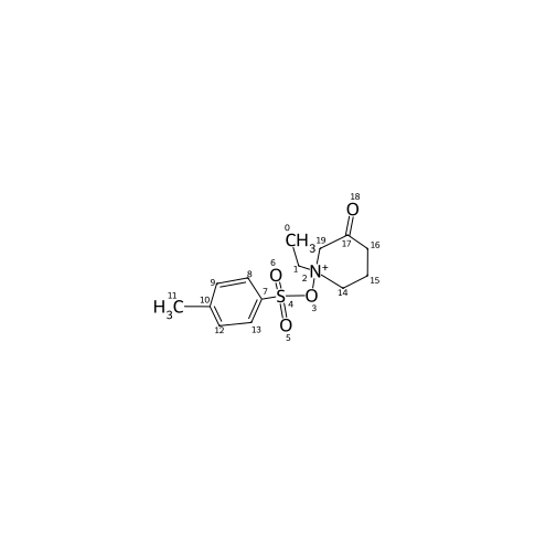 CC[N+]1(OS(=O)(=O)c2ccc(C)cc2)CCCC(=O)C1